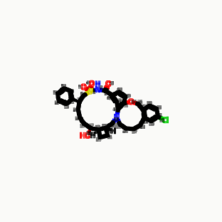 O=C1NS(=O)(=O)C[C@H](c2ccccc2)CCC[C@H](O)[C@@H]2CC[C@H]2CN2CCCCc3cc(Cl)ccc3COc3ccc1cc32